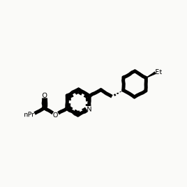 CCCC(=O)Oc1ccc(CC[C@H]2CC[C@H](CC)CC2)nc1